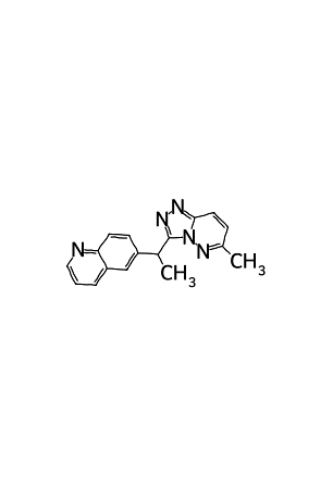 Cc1ccc2nnc(C(C)c3ccc4ncccc4c3)n2n1